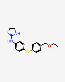 CCOCc1ccc(Sc2ccc(NC3=NCCN3)cc2)cc1